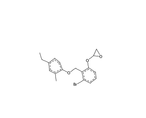 CCc1ccc(OCc2c(Br)cccc2OC2CO2)c(C)c1